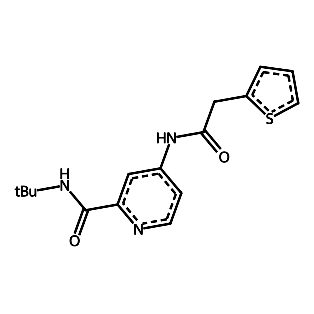 CC(C)(C)NC(=O)c1cc(NC(=O)Cc2cccs2)ccn1